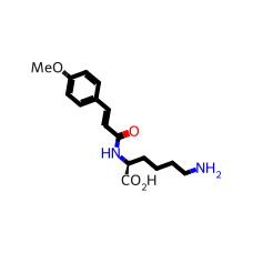 COc1ccc(/C=C/C(=O)N[C@@H](CCCCN)C(=O)O)cc1